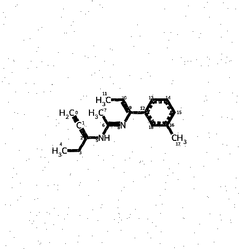 C=C=C(CC)N/C(C)=N/C(=C\C)c1cccc(C)c1